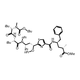 CCCO[C@H](C[C@H](C(C)C)N(CCC)C(=O)[C@@H](NC(=O)[C@H]([C@@H](C)CC)N(C)C(=O)OC(C)(C)C)[C@@H](C)CC)c1nc(C(=O)N[C@@H](Cc2ccccc2)C[C@H](C)C(=O)OC)cs1